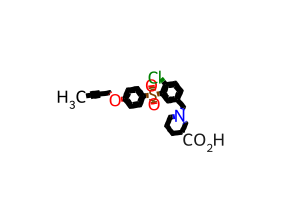 CC#CCOc1ccc(S(=O)(=O)c2cc(CN3CCCC(C(=O)O)C3)ccc2Cl)cc1